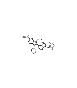 CC1CCC(C)N1Cc1cn2c3c(cccc13)-c1c(C3CCCCC3)c3ccc(C(=O)O)cc3n1CCC2